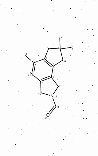 Cc1nc2c(c3c1CC(C)(C)C3)CN(C=O)C2